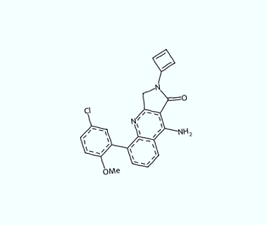 COc1ccc(Cl)cc1-c1cccc2c(N)c3c(nc12)CN(C1=CC=C1)C3=O